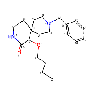 CCCCOC1C(=O)NCCC12CCN(Cc1ccccc1)CC2